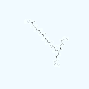 N#CCCCCN(CCCCC#N)CCOCCOCCOCCOCCO